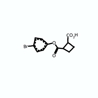 O=C(O)C1CCC1C(=O)Oc1ccc(Br)cc1